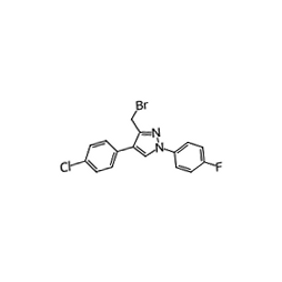 Fc1ccc(-n2cc(-c3ccc(Cl)cc3)c(CBr)n2)cc1